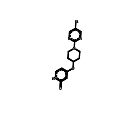 CCc1cnc(N2CCC(Oc3cc[nH]c(=O)c3)CC2)nc1